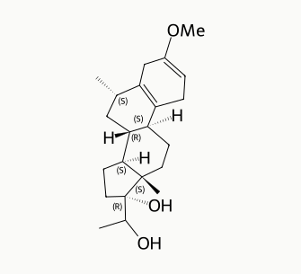 COC1=CCC2=C(C1)[C@@H](C)C[C@@H]1[C@@H]2CC[C@@]2(C)[C@H]1CC[C@]2(O)C(C)O